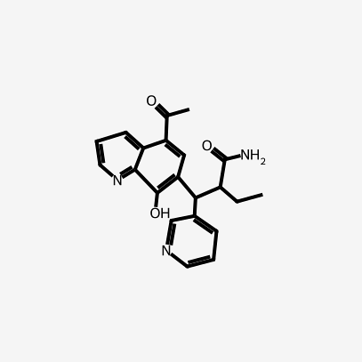 CCC(C(N)=O)C(c1cccnc1)c1cc(C(C)=O)c2cccnc2c1O